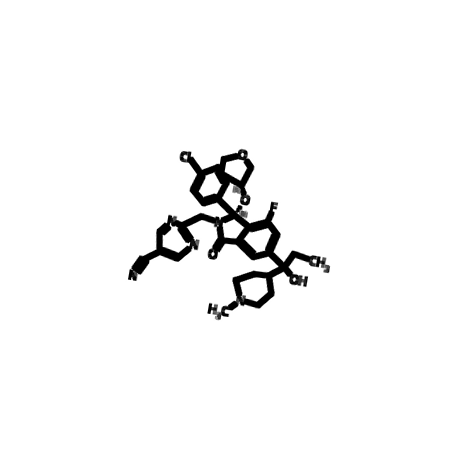 CCC(O)(c1cc(F)c2c(c1)C(=O)N(Cc1ncc(C#N)cn1)[C@@]2(O[C@H]1CCOC1)c1ccc(Cl)cc1)C1CCN(C)CC1